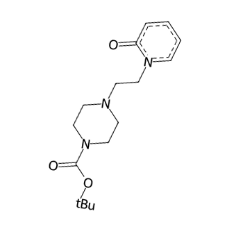 CC(C)(C)OC(=O)N1CCN(CCn2ccccc2=O)CC1